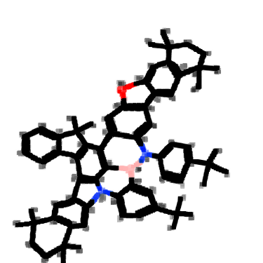 CC(C)(C)c1ccc(N2B3c4cc(C(C)(C)C)ccc4-n4c5cc6c(cc5c5c7c(c(c3c54)-c3cc4oc5cc8c(cc5c4cc32)C(C)(C)CCC8(C)C)C(C)(C)c2ccccc2-7)C(C)(C)CCC6(C)C)cc1